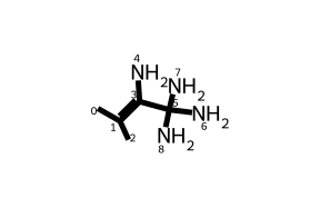 CC(C)=C(N)C(N)(N)N